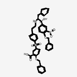 O=C(O)c1cc(S(=O)(=O)c2ccc(CCNC(Cc3ccccc3)[C@H](O)c3ccc(OCc4ccccc4)c([N+](=O)[O-])c3)cc2)ccc1OCc1ccccc1